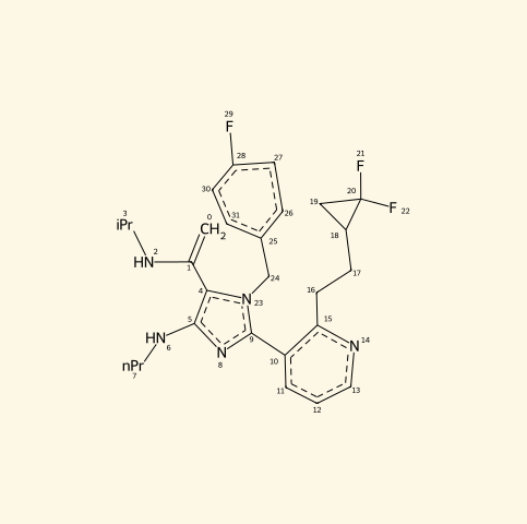 C=C(NC(C)C)c1c(NCCC)nc(-c2cccnc2CCC2CC2(F)F)n1Cc1ccc(F)cc1